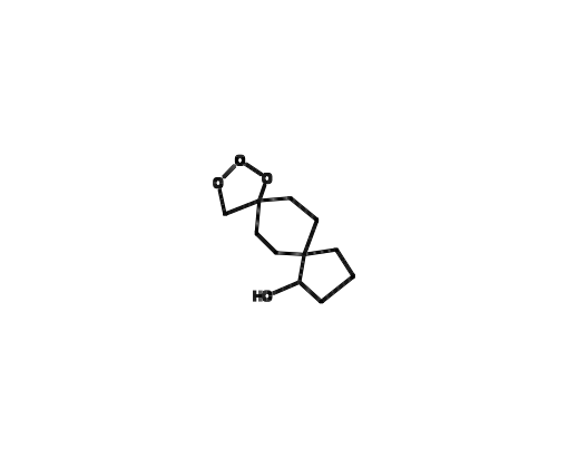 OC1CCCC12CCC1(CC2)COOO1